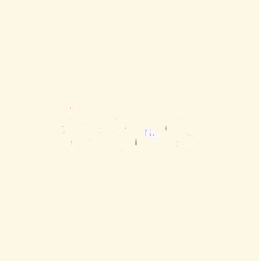 O=C1C=CC(=O)c2ccccc21.c1ccc2c(N=Nc3cccc4ccccc34)cccc2c1